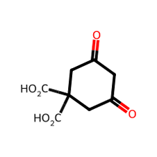 O=C1CC(=O)CC(C(=O)O)(C(=O)O)C1